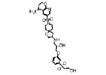 CN1CCOc2ncc(S(=O)(=O)N3CCC4(CC3)C[C@@H](NC[C@H](O)COc3cccc(S(=O)(=O)CCO)c3)CO4)cc21